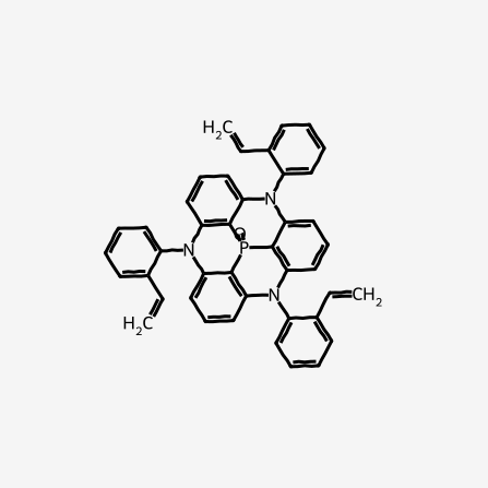 C=Cc1ccccc1N1c2cccc3c2P2(=O)c4c1cccc4N(c1ccccc1C=C)c1cccc(c12)N3c1ccccc1C=C